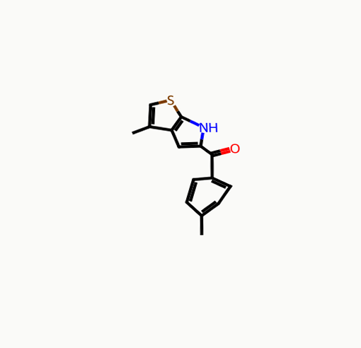 Cc1ccc(C(=O)c2cc3c(C)csc3[nH]2)cc1